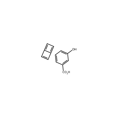 O=C(O)c1cccc(O)c1.c1cc2ccc1-2